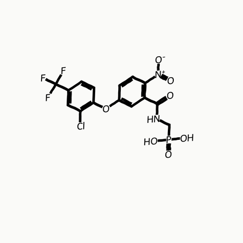 O=C(NCP(=O)(O)O)c1cc(Oc2ccc(C(F)(F)F)cc2Cl)ccc1[N+](=O)[O-]